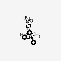 Cc1cc(N2CCN(OC(=O)C(C)(C)C)CC2)cc(C)c1N(Cc1ccccc1)Cc1ccccc1